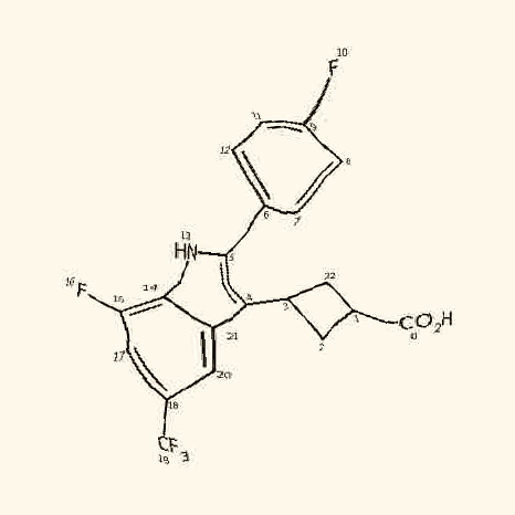 O=C(O)C1CC(c2c(-c3ccc(F)cc3)[nH]c3c(F)cc(C(F)(F)F)cc23)C1